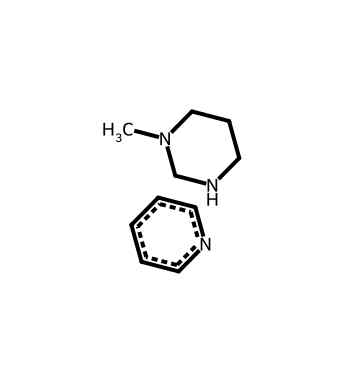 CN1CCCNC1.c1ccncc1